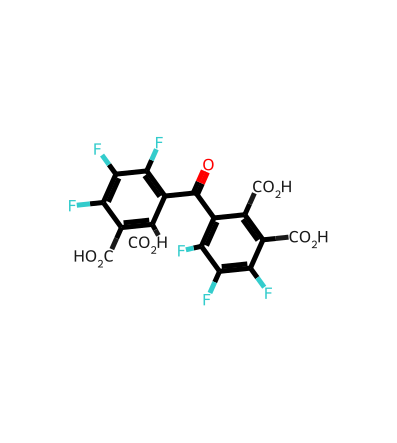 O=C(O)c1c(F)c(F)c(F)c(C(=O)c2c(F)c(F)c(F)c(C(=O)O)c2C(=O)O)c1C(=O)O